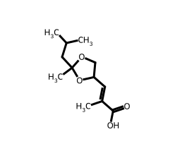 C/C(=C\C1COC(C)(CC(C)C)O1)C(=O)O